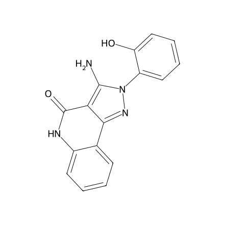 Nc1c2c(=O)[nH]c3ccccc3c2nn1-c1ccccc1O